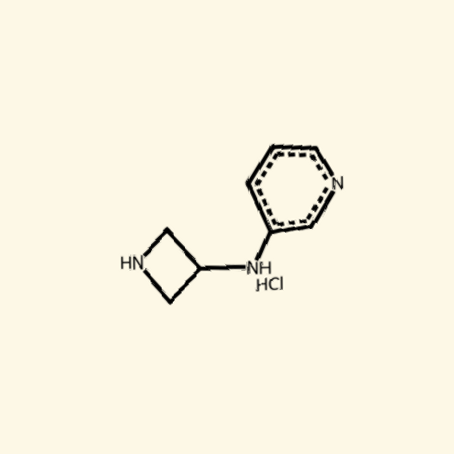 Cl.c1cncc(NC2CNC2)c1